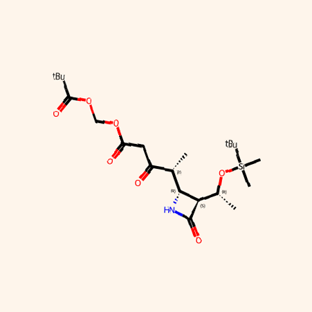 C[C@@H](O[Si](C)(C)C(C)(C)C)[C@H]1C(=O)N[C@@H]1[C@@H](C)C(=O)CC(=O)OCOC(=O)C(C)(C)C